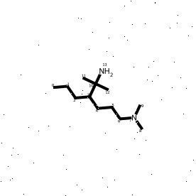 CCCC(CCCN(C)C)C(C)(C)N